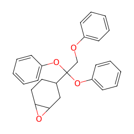 c1ccc(OCC(Oc2ccccc2)(Oc2ccccc2)C2CCC3OC3C2)cc1